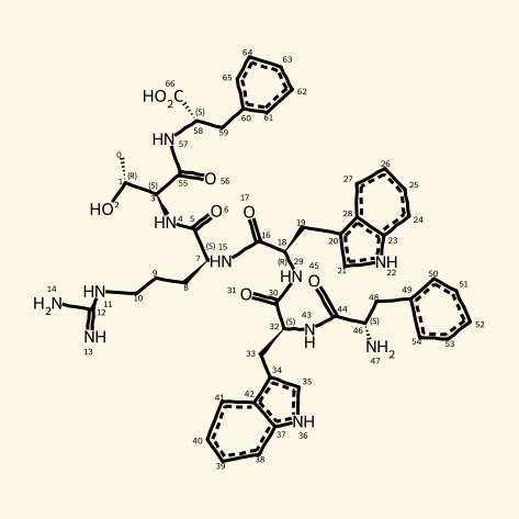 C[C@@H](O)[C@H](NC(=O)[C@H](CCCNC(=N)N)NC(=O)[C@@H](Cc1c[nH]c2ccccc12)NC(=O)[C@H](Cc1c[nH]c2ccccc12)NC(=O)[C@@H](N)Cc1ccccc1)C(=O)N[C@@H](Cc1ccccc1)C(=O)O